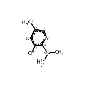 Cc1cnc(N(C)C)c(Cl)c1